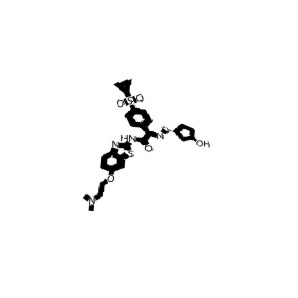 CN(C)CCOc1ccc2nc(NC(=O)/C(=N/O[C@@H]3CC[C@@H](O)C3)c3ccc(S(=O)(=O)C4CC4)cc3)sc2c1